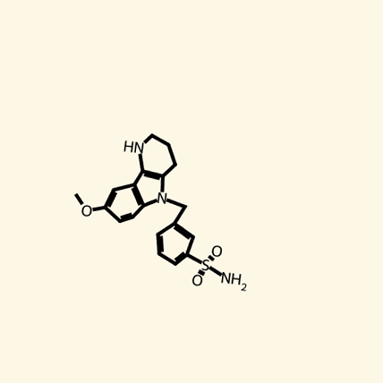 COc1ccc2c(c1)c1c(n2Cc2cccc(S(N)(=O)=O)c2)CCCN1